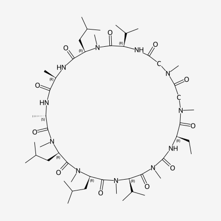 CC[C@H]1NC(=O)N(C)C(=O)[C@@H](C(C)C)N(C)C(=O)[C@@H](CC(C)C)N(C)C(=O)[C@@H](CC(C)C)N(C)C(=O)[C@H](C)NC(=O)[C@@H](C)NC(=O)[C@@H](CC(C)C)N(C)C(=O)[C@@H](C(C)C)NC(=O)CN(C)C(=O)CN(C)C1=O